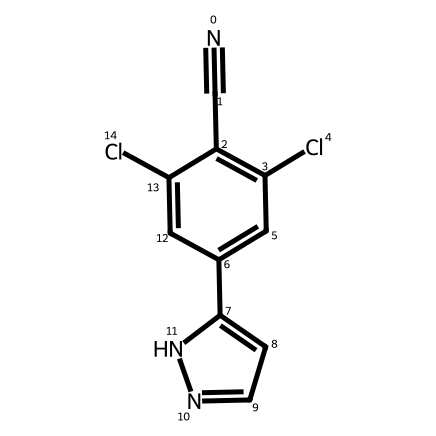 N#Cc1c(Cl)cc(-c2ccn[nH]2)cc1Cl